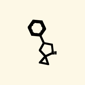 c1ccc(C2CNC3(CC3)C2)cc1